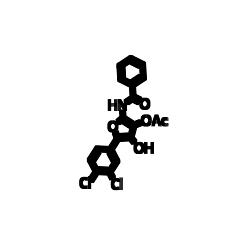 CC(=O)Oc1c(NC(=O)c2ccccc2)oc(-c2ccc(Cl)c(Cl)c2)c1O